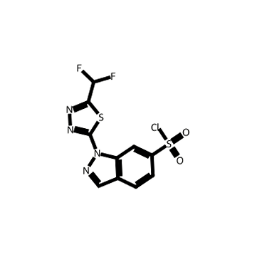 O=S(=O)(Cl)c1ccc2cnn(-c3nnc(C(F)F)s3)c2c1